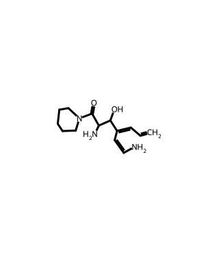 C=C/C=C(\C=C/N)C(O)C(N)C(=O)N1CCCCC1